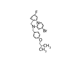 CC(C)COc1ccc(CN(Cc2ccc(F)cc2)c2cc(Br)ccn2)cc1